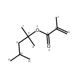 C=C(C)C(=O)OC(C)(C)CC(C)C